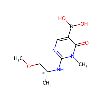 COC[C@@H](C)Nc1ncc(B(O)O)c(=O)n1C